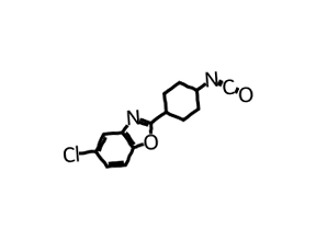 O=C=NC1CCC(c2nc3cc(Cl)ccc3o2)CC1